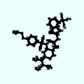 CCCc1ccc(S(=O)(=O)CC2CC(N(C)C(C)C)CCC2NC(=O)Cc2nc3c(C(F)(F)F)cccc3[nH]2)cc1